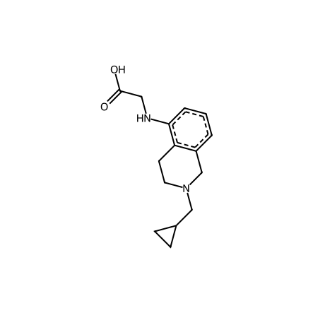 O=C(O)CNc1cccc2c1CCN(CC1CC1)C2